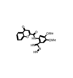 COc1cc(NC(=O)c2cc(=O)c3ccccc3o2)c(C(=N)N=N)cc1OC